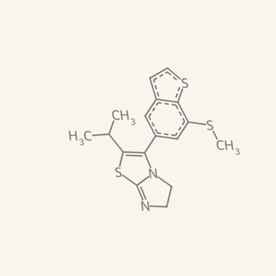 CSc1cc(C2=C(C(C)C)SC3=NCCN32)cc2ccsc12